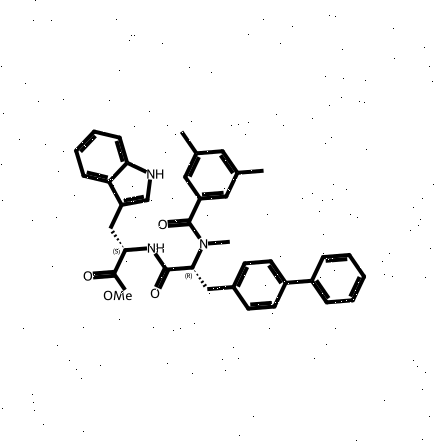 COC(=O)[C@H](Cc1c[nH]c2ccccc12)NC(=O)[C@@H](Cc1ccc(-c2ccccc2)cc1)N(C)C(=O)c1cc(C)cc(C)c1